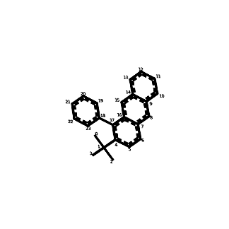 CC(C)(C)c1ccc2cc3ccccc3cc2c1-c1ccccc1